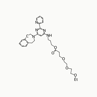 CCOCCOCCOCCC(=O)OCCCNc1cc(N2CCc3ccccc3CC2)nc(-c2ccccn2)n1